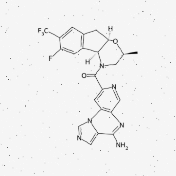 C[C@H]1CN(C(=O)c2cc3c(cn2)nc(N)c2cncn23)[C@H]2c3cc(F)c(C(F)(F)F)cc3C[C@H]2O1